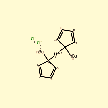 CCCC[C]1([Hf+2][C]2(CCCC)C=CC=C2)C=CC=C1.[Cl-].[Cl-]